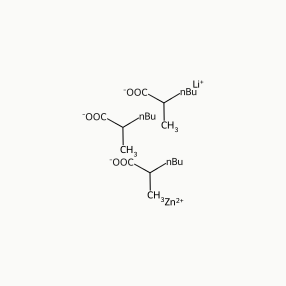 CCCCC(C)C(=O)[O-].CCCCC(C)C(=O)[O-].CCCCC(C)C(=O)[O-].[Li+].[Zn+2]